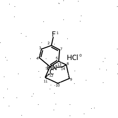 Cl.Fc1ccc2c(c1)C1CCC2CNC1